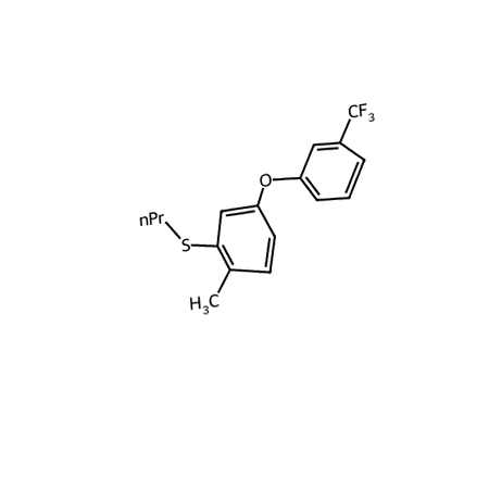 CCCSc1cc(Oc2cccc(C(F)(F)F)c2)ccc1C